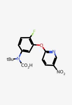 CC(C)(C)N(C(=O)O)c1ccc(F)c(Oc2ccc([N+](=O)[O-])cn2)c1